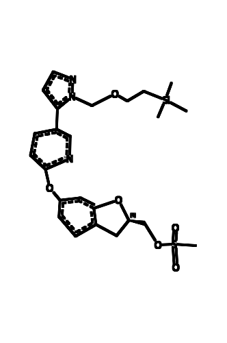 C[Si](C)(C)CCOCn1nccc1-c1ccc(Oc2ccc3c(c2)O[C@@H](COS(C)(=O)=O)C3)nc1